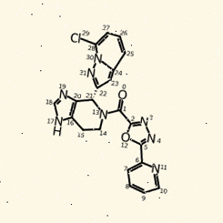 O=C(c1nnc(-c2ccccn2)o1)N1CCc2[nH]cnc2[C@@H]1c1cc2cccc(Cl)n2n1